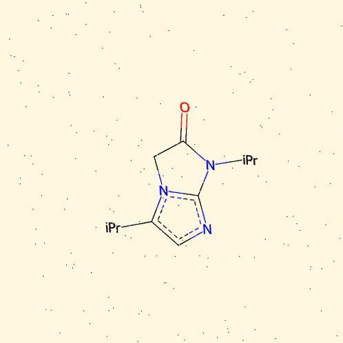 CC(C)c1cnc2n1CC(=O)N2C(C)C